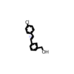 OCc1cccc(/C=C/c2ccc(Cl)cc2)c1